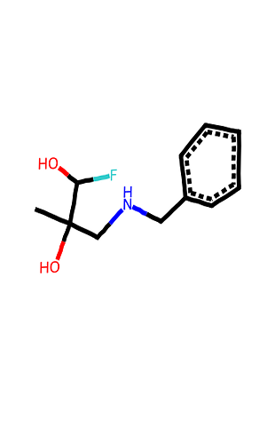 CC(O)(CNCc1ccccc1)C(O)F